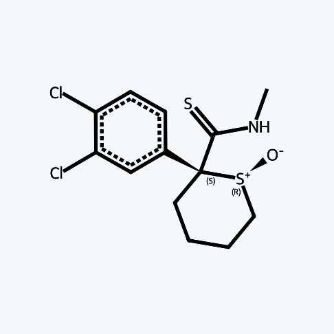 CNC(=S)[C@@]1(c2ccc(Cl)c(Cl)c2)CCCC[S@+]1[O-]